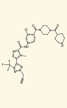 C#CCn1cc(-c2cnc(C(=O)Nc3ccc(C(=O)N4CCN(C(=O)C5CCNCC5)CC4)c(Cl)c3)n2C)c(C(F)(F)F)n1